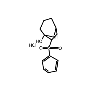 Cl.O=S(=O)(c1ccccc1)C1CC2CCCC1(O)N2